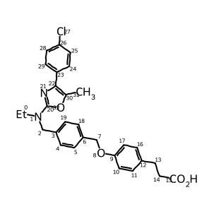 CCN(Cc1ccc(COc2ccc(CCC(=O)O)cc2)cc1)c1nc(-c2ccc(Cl)cc2)c(C)o1